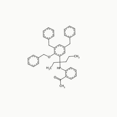 CCCC(CC)(Pc1ccccc1C(C)=O)c1cc(Cc2ccccc2)cc(Cc2ccccc2)c1OCc1ccccc1